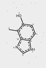 Cc1c(O)ccc2[nH][c]nc12